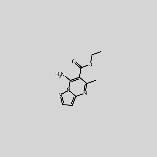 CCOC(=O)c1c(C)nc2ccnn2c1N